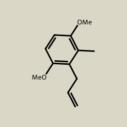 C=CCc1c(OC)ccc(OC)c1C